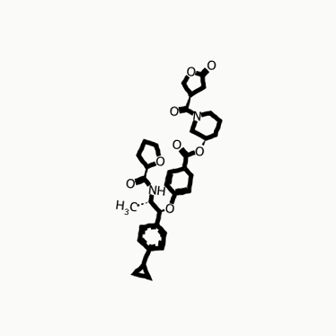 C[C@H](NC(=O)[C@H]1CCCO1)[C@H](OC1=CCC(C(=O)O[C@H]2CCCN(C(=O)[C@H]3COC(=O)C3)C2)C=C1)c1ccc(C2CC2)cc1